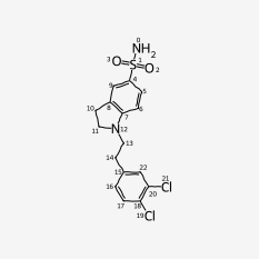 NS(=O)(=O)c1ccc2c(c1)CCN2CCc1ccc(Cl)c(Cl)c1